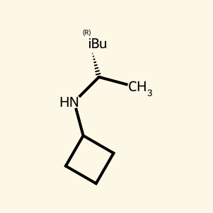 CC[C@@H](C)C(C)NC1CCC1